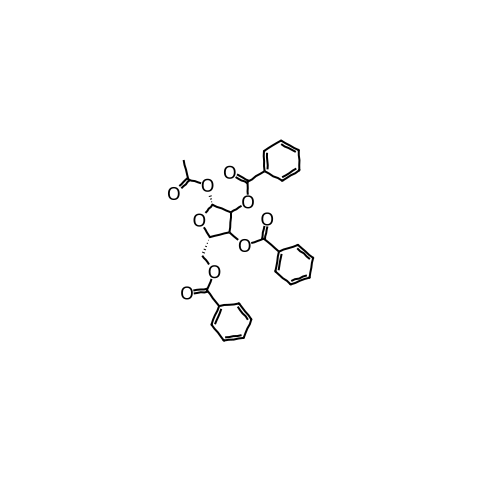 CC(=O)O[C@H]1O[C@@H](COC(=O)c2ccccc2)C(OC(=O)c2ccccc2)C1OC(=O)c1ccccc1